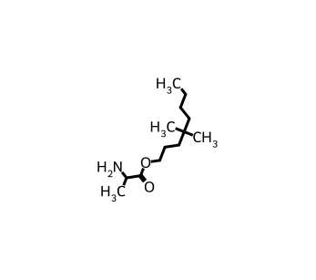 CCCCC(C)(C)CCCOC(=O)C(C)N